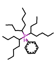 CCCCC(CCC)[PH](c1ccccc1)(C(CCC)CCCC)C(CCC)CCCC